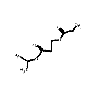 [CH2]CC(=O)OCCC(=O)OC(C)C